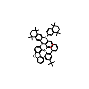 Cc1cc2c3c(c1)N(c1ccc(C(C)(C)C)cc1-c1ccccc1)c1c(ccc4oc5ccccc5c14)B3c1cc3c(cc1N2c1ccc2c(c1)C(C)(C)CCC2(C)C)C(C)(C)CCC3(C)C